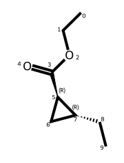 CCOC(=O)[C@@H]1C[C@H]1CC